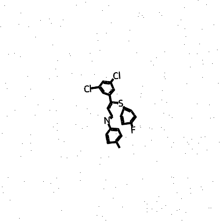 Cc1ccc(N=CC=C(Sc2ccc(F)cc2)c2cc(Cl)cc(Cl)c2)cc1